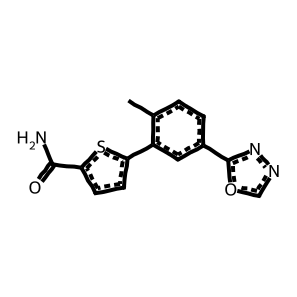 Cc1ccc(-c2nnco2)cc1-c1ccc(C(N)=O)s1